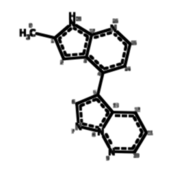 Cc1cc2c(-c3cnn4ncccc34)ccnc2[nH]1